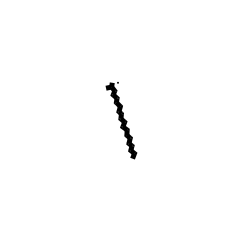 [CH2]C(C)CCCCCCCCCCCCCCCCCC